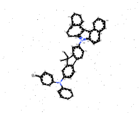 CC(C)(C)c1ccc(N(c2ccccc2)c2ccc3c(c2)C(C)(C)c2cc(-n4c5ccc6ccccc6c5c5c6ccccc6ccc54)ccc2-3)cc1